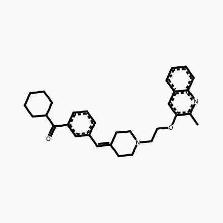 Cc1nc2ccccc2cc1OCCN1CCC(=Cc2cccc(C(=O)C3CCCCC3)c2)CC1